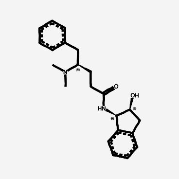 CN(C)[C@H](CCC(=O)N[C@@H]1c2ccccc2C[C@@H]1O)Cc1ccccc1